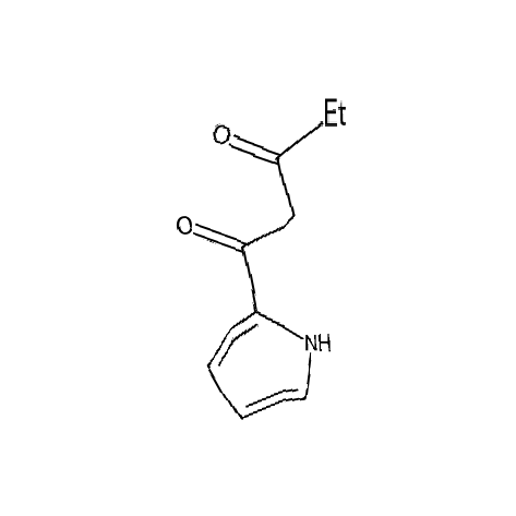 CCC(=O)CC(=O)c1ccc[nH]1